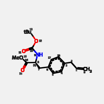 C=CCc1ccc(C[C@H](NC(=O)OC(C)(C)C)C(=O)OC)cc1